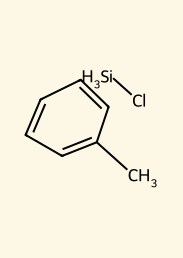 Cc1ccccc1.[SiH3]Cl